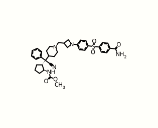 COC(=O)N[C@H]1CCC[C@@H]1C(C#N)(c1ccccc1)C1CCN(CC2CN(c3ccc(S(=O)(=O)c4ccc(C(N)=O)cc4)cc3)C2)CC1